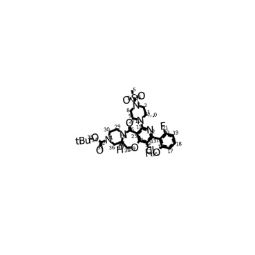 C[C@H]1CN(S(C)(=O)=O)CCN1c1nc(-c2c(O)cccc2F)c(Cl)c2c1C(=O)N1CCN(C(=O)OC(C)(C)C)C[C@@H]1CO2